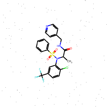 CC(C(=O)NCc1ccncc1)N(c1cc(C(F)(F)F)ccc1Cl)S(=O)(=O)c1ccccc1